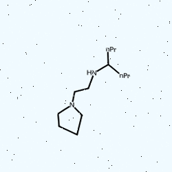 CCCC(CCC)NCCN1CCCC1